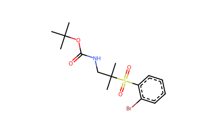 CC(C)(C)OC(=O)NCC(C)(C)S(=O)(=O)c1ccccc1Br